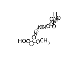 Cc1ccc(C2=C(c3ccc(N4CCC(CN5CCN(c6ccc7c(c6)CN([C@H]6CCC(=O)NC6=O)C7=O)CC5)CC4)cc3)c3ccc(O)cc3CCC2)cc1